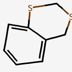 c1ccc2c(c1)CSCS2